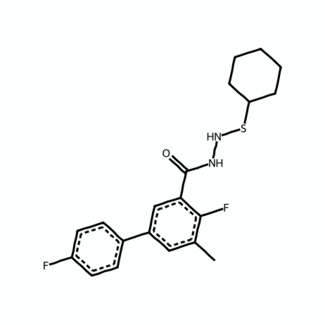 Cc1cc(-c2ccc(F)cc2)cc(C(=O)NNSC2CCCCC2)c1F